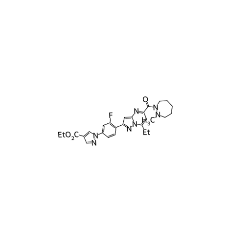 CCOC(=O)c1cnn(-c2ccc(-c3cc4nc(C(=O)N5CCCCCN5C)cc(CC)n4n3)c(F)c2)c1